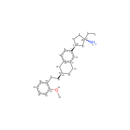 CC[C@@]1(N)CC[C@H](c2ccc3c(c2)CC[C@@H](CCc2ccccc2OC)C3)C1